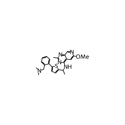 COc1cc2c(NC(C)c3ccc(-c4ccccc4CN(C)C)s3)nc(C)nc2cn1